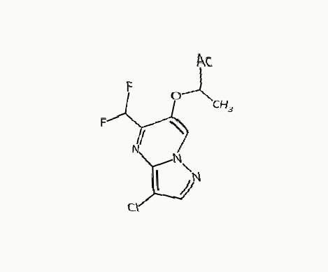 CC(=O)C(C)Oc1cn2ncc(Cl)c2nc1C(F)F